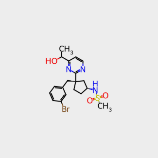 CC(O)c1ccnc([C@@]2(Cc3cccc(Br)c3)CC[C@H](NS(C)(=O)=O)C2)n1